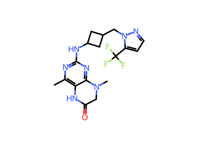 Cc1nc(NC2CC(Cn3nccc3C(F)(F)F)C2)nc2c1NC(=O)CN2C